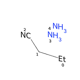 CCCC#N.N.N